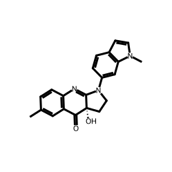 Cc1ccc2c(c1)C(=O)[C@]1(O)CCN(c3ccc4ccn(C)c4c3)C1=N2